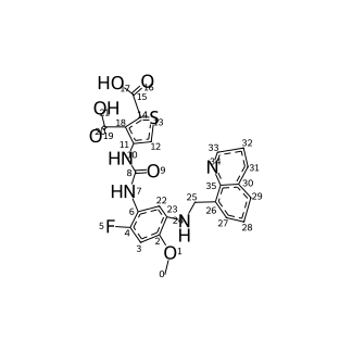 COc1cc(F)c(NC(=O)Nc2csc(C(=O)O)c2C(=O)O)cc1NCc1cccc2cccnc12